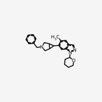 Cc1cc2cnn(C3CCCCO3)c2cc1C1C2CN(Cc3ccccc3)CC21